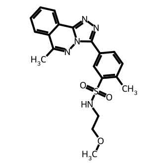 COCCNS(=O)(=O)c1cc(-c2nnc3c4ccccc4c(C)nn23)ccc1C